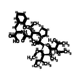 CC[C@H](C)[C@@H]([C@@H](CC(=O)N1CCC[C@H]1[C@H](OC)[C@@H](C)C(=O)N[C@@H](Cc1ccccc1OC)C(=O)O)OC)N(C)C(=O)[C@@H](NC)C(C)C